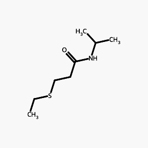 CCSCCC(=O)NC(C)C